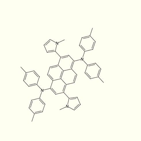 Cc1ccc(N(c2ccc(C)cc2)c2cc(-c3cccn3C)c3ccc4c(N(c5ccc(C)cc5)c5ccc(C)cc5)cc(-c5cccn5C)c5ccc2c3c54)cc1